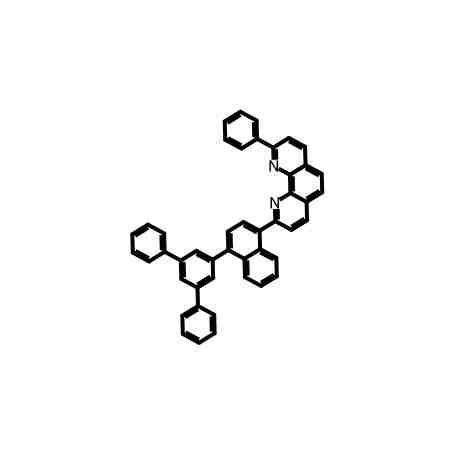 c1ccc(-c2cc(-c3ccccc3)cc(-c3ccc(-c4ccc5ccc6ccc(-c7ccccc7)nc6c5n4)c4ccccc34)c2)cc1